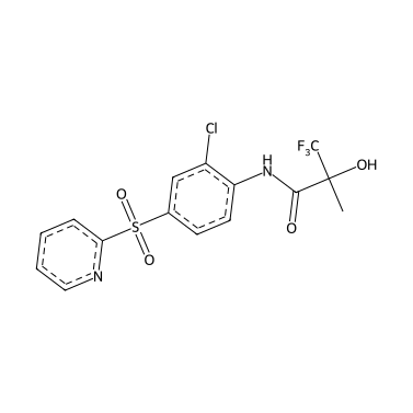 CC(O)(C(=O)Nc1ccc(S(=O)(=O)c2ccccn2)cc1Cl)C(F)(F)F